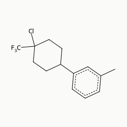 Cc1cccc(C2CCC(Cl)(C(F)(F)F)CC2)c1